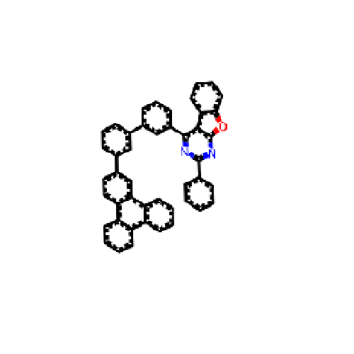 c1ccc(-c2nc(-c3cccc(-c4cccc(-c5ccc6c7ccccc7c7ccccc7c6c5)c4)c3)c3c(n2)oc2ccccc23)cc1